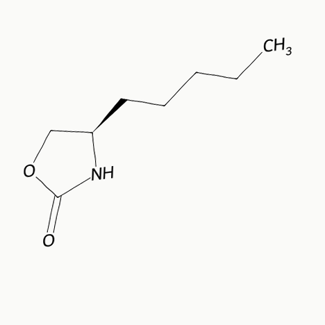 CCCCC[C@@H]1COC(=O)N1